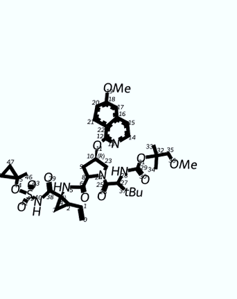 C=CC1C[C@]1(NC(=O)C1C[C@@H](Oc2nccc3cc(OC)ccc23)CN1C(=O)C(NC(=O)OC(C)(C)COC)C(C)(C)C)C(=O)NS(=O)(=O)OC1(C)CC1